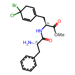 COC(=O)[C@H](CC1=CCC(Cl)(Br)C=C1)NC(=O)[C@@H](N)Cc1ccccc1